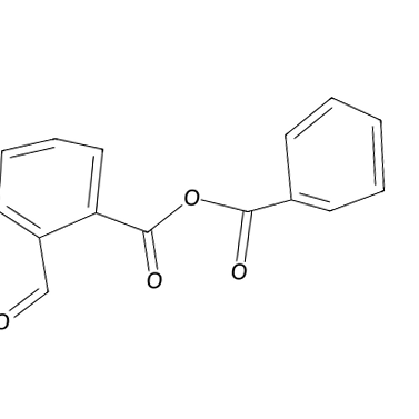 O=Cc1ccccc1C(=O)OC(=O)c1ccccc1